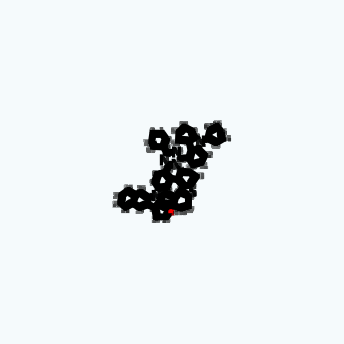 c1ccc(-c2nc(-c3ccc(-n4c5ccccc5c5cc6ccccc6cc54)cc3-c3cccc4sc5ccc6ccccc6c5c34)nc(-c3cccc4c3c3ccccc3n4-c3ccccc3)n2)cc1